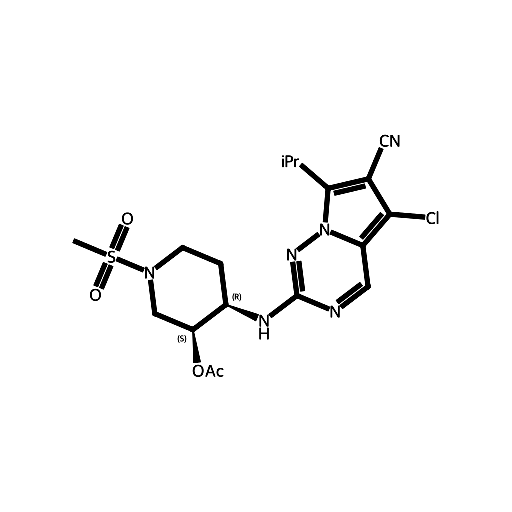 CC(=O)O[C@H]1CN(S(C)(=O)=O)CC[C@H]1Nc1ncc2c(Cl)c(C#N)c(C(C)C)n2n1